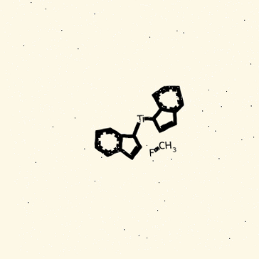 C1=C[CH]([Ti][CH]2C=Cc3ccccc32)c2ccccc21.CF